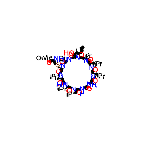 C/C=C/C[C@@H](C)[C@@H](O)[C@@H]1C(=O)N[C@H](CC)C(=O)N(C)[C@H](CSC[C@H](N)C(=O)OC)C(=O)N(C)[C@@H](CC(C)C)C(=O)N[C@H](C(C)C)C(=O)N(C)[C@H](CC(C)C)C(=O)N[C@H](C)C(=O)N[C@@H](C)C(=O)N(C)[C@H](CC(C)C)C(=O)N(C)[C@H](CC(C)C)C(=O)N(C)[C@H](C(C)C)C(=O)N1C